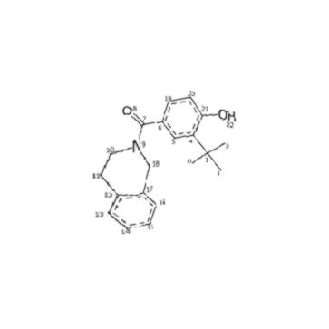 CC(C)(C)c1cc(C(=O)N2CCc3ccccc3C2)ccc1O